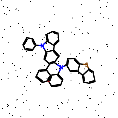 c1ccc(-c2cc3c(cc2N(c2ccccc2)c2ccc4sc5ccccc5c4c2)c2ccccc2n3-c2ccccc2)cc1